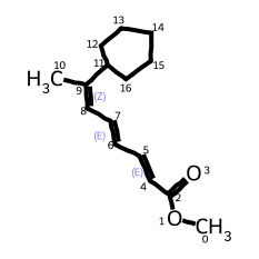 COC(=O)/C=C/C=C/C=C(/C)C1CCCCC1